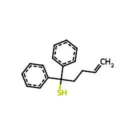 C=CCCC(S)(c1ccccc1)c1ccccc1